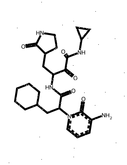 Nc1cccn(C(CC2CCCCC2)C(=O)NC(CC2CCNC2=O)C(=O)C(=O)NC2CC2)c1=O